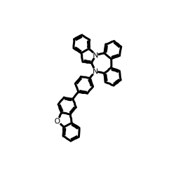 c1ccc2c(c1)-c1ccccc1-n1c(cc3ccccc31)N2c1ccc(-c2ccc3oc4ccccc4c3c2)cc1